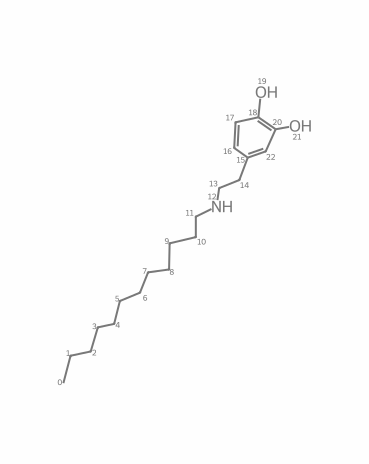 CCCCCCCCCCCCNCCc1ccc(O)c(O)c1